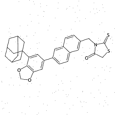 O=C1CSC(=S)N1Cc1ccc2cc(-c3cc4c(c(C56CC7CC(CC(C7)C5)C6)c3)OCO4)ccc2c1